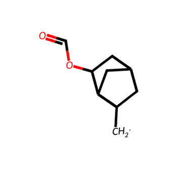 [CH2]C1CC2CC(OC=O)C1C2